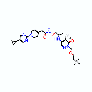 CC(CONC(=O)CC1=CCN(c2ncc(C3CC3)cn2)CC1)Nc1cnn(COCC[Si](C)(C)C)c(=O)c1C(F)(F)F